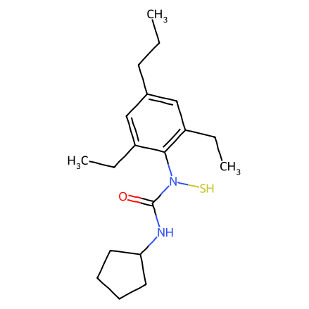 CCCc1cc(CC)c(N(S)C(=O)NC2CCCC2)c(CC)c1